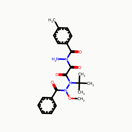 CON(C(=O)c1ccccc1)N(C(=O)C(=O)N(N)C(=O)c1ccc(C)cc1)C(C)(C)C